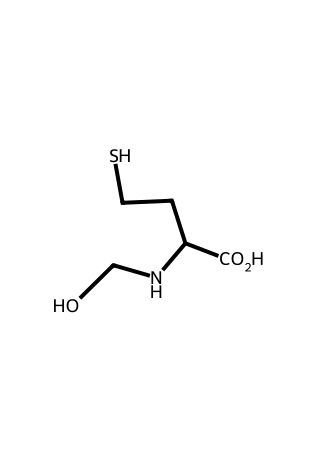 O=C(O)C(CCS)NCO